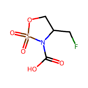 O=C(O)N1C(CF)COS1(=O)=O